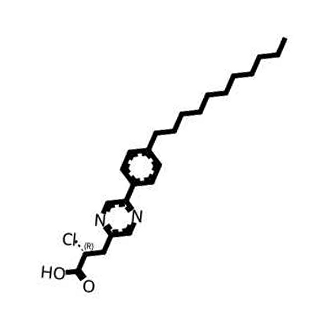 CCCCCCCCCCCc1ccc(-c2cnc(C[C@@H](Cl)C(=O)O)cn2)cc1